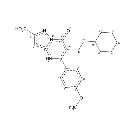 CCCCOc1ccc(-c2[nH]c3cc(C(=O)O)nn3c(=O)c2CCC2CCCCC2)cc1